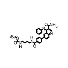 CC(C)(C)OC(=O)NCCCCNC(=O)c1ccc(-c2ccc3ncc(C(N)=O)c(Nc4ccccc4)c3c2)cc1